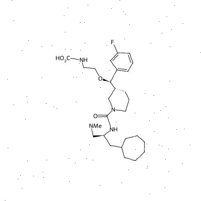 CNC[C@H](CC1CCCCCC1)NC(=O)N1CCC[C@@H]([C@@H](OCCNC(=O)O)c2cccc(F)c2)C1